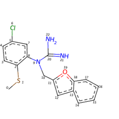 CSc1ccc(Cl)cc1N(Cc1cc2ccccc2o1)C(=N)N